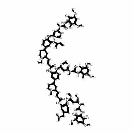 C=CC(=O)Nc1cc(C2CCN(CC)C(/C=C/C(=O)Nc3cc(C4CCN(C)C(/C=C/C(=O)Nc5cc(CN(C)C)ccc5N/C(=C/C(=N\C)N(C)C(=O)Nc5c(Cl)c(OC)cc(OC)c5Cl)N=C)C4)ccc3Nc3cc(N(C)C(=O)Nc4c(Cl)c(OC)cc(OC)c4Cl)ncn3)C2)ccc1Nc1cc(N(C)C(=O)Nc2c(Cl)c(OC)cc(OC)c2Cl)ncn1